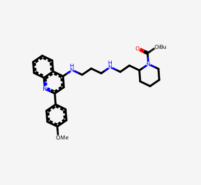 COc1ccc(-c2cc(NCCCNCCC3CCCCN3C(=O)OCC(C)C)c3ccccc3n2)cc1